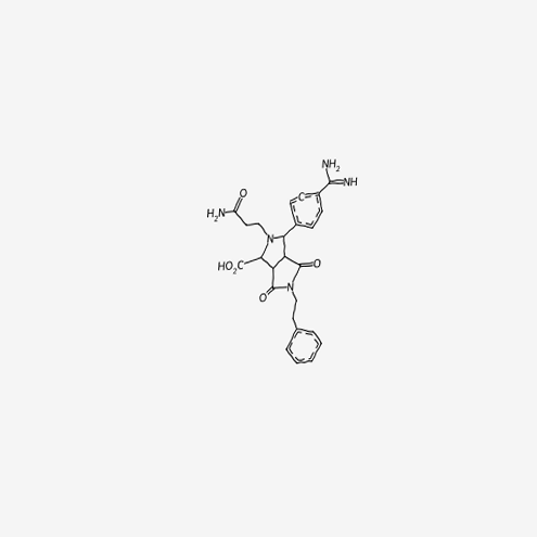 N=C(N)c1ccc(C2C3C(=O)N(CCc4ccccc4)C(=O)C3C(C(=O)O)N2CCC(N)=O)cc1